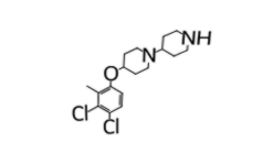 Cc1c(OC2CCN(C3CCNCC3)CC2)ccc(Cl)c1Cl